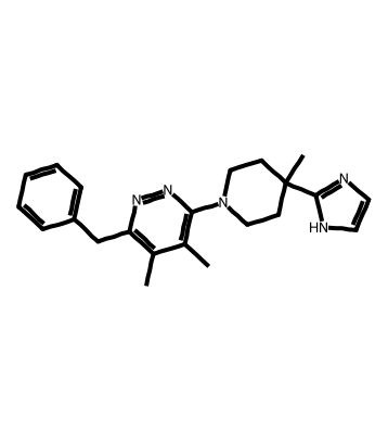 Cc1c(Cc2ccccc2)nnc(N2CCC(C)(c3ncc[nH]3)CC2)c1C